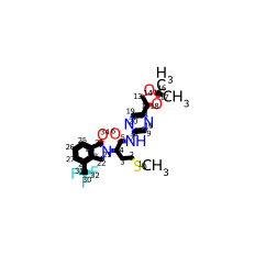 CSCCC(C(=O)Nc1cnc(C2COC(C)(C)O2)cn1)N1Cc2c(cccc2C(F)(F)F)C1=O